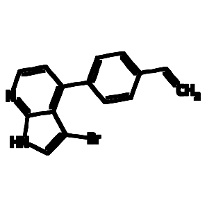 C=Cc1ccc(-c2ccnc3[nH]cc(Br)c23)cc1